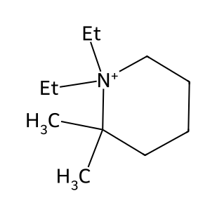 CC[N+]1(CC)CCCCC1(C)C